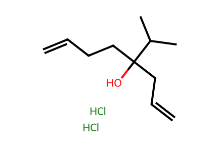 C=CCCC(O)(CC=C)C(C)C.Cl.Cl